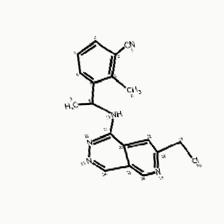 Cc1c(C#N)cccc1C(C)Nc1nncc2cnc(CCl)cc12